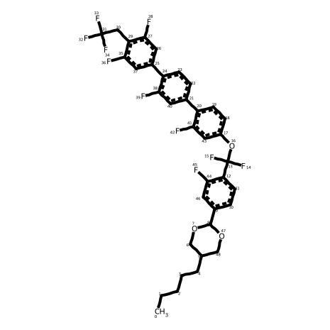 CCCCCC1COC(c2ccc(C(F)(F)Oc3ccc(-c4ccc(-c5cc(F)c(CC(F)(F)F)c(F)c5)c(F)c4)c(F)c3)c(F)c2)OC1